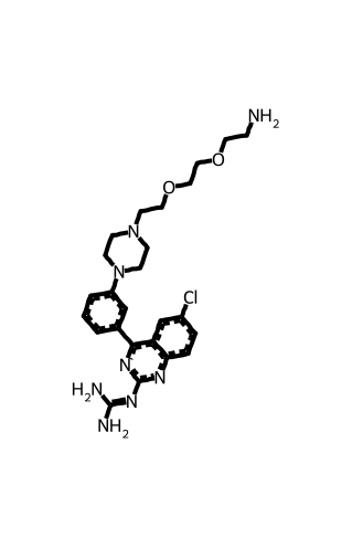 NCCOCCOCCN1CCN(c2cccc(-c3nc(N=C(N)N)nc4ccc(Cl)cc34)c2)CC1